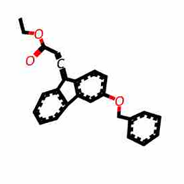 CCOC(=O)C=C=C1c2ccccc2-c2cc(OCc3ccccc3)ccc21